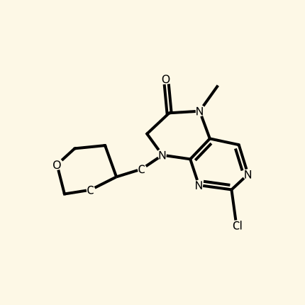 CN1C(=O)CN(CC2CCOCC2)c2nc(Cl)ncc21